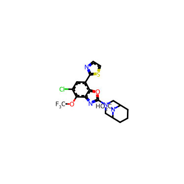 O=C(O)N1C2CCCC1CN(c1nc3c(OC(F)(F)F)c(Cl)cc(-c4nccs4)c3o1)C2